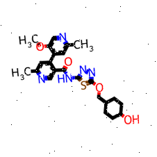 COc1cnc(C)cc1-c1cc(C)ncc1C(=O)Nc1nnc(OCC2CCC(O)CC2)s1